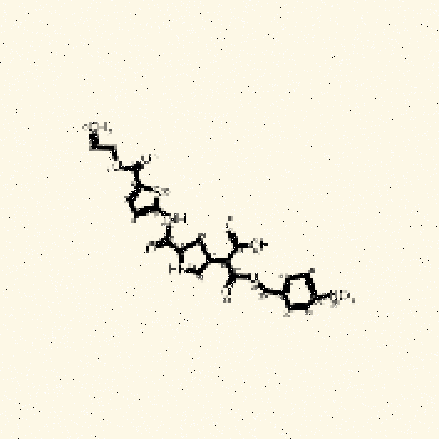 C=CCOC(=O)c1ccc(NC(=O)C2CC(C(C(=O)OCc3ccc([N+](=O)[O-])cc3)C(O)=S)CN2)s1